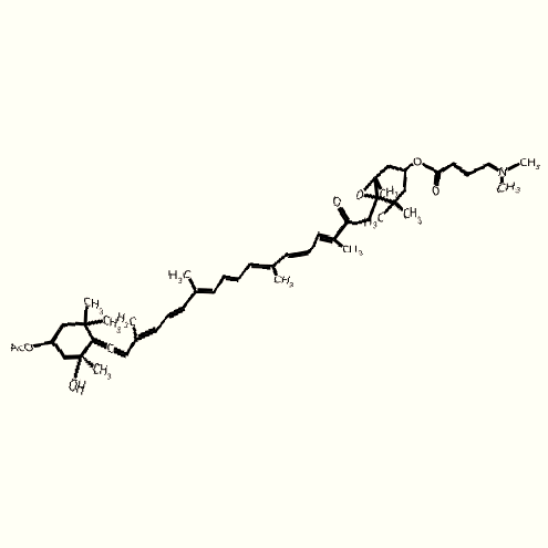 CC(=O)OC1CC(C)(C)C(=C=C/C(C)=C/C=C/C(C)=C/C=C/C=C(C)/C=C/C=C(\C)C(=O)CC23OC2(C)CC(OC(=O)CCCN(C)C)CC3(C)C)[C@](C)(O)C1